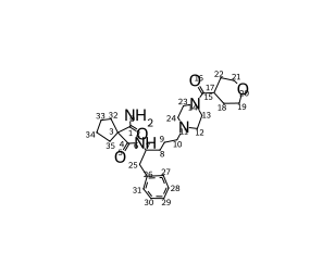 NC(=O)C1(C(=O)NC(CCCN2CCN(C(=O)C3CCOCC3)CC2)Cc2ccccc2)CCCC1